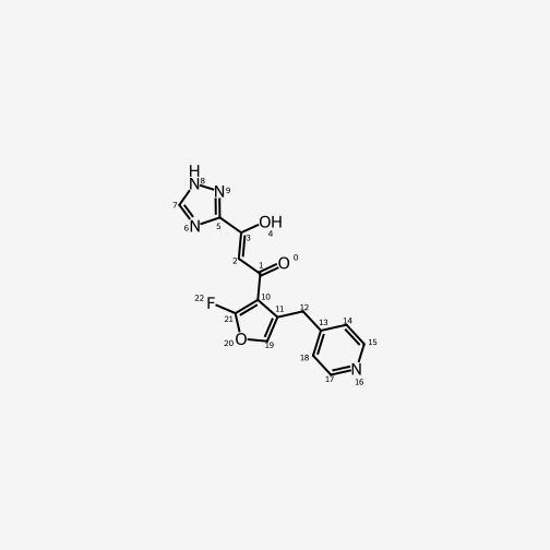 O=C(C=C(O)c1nc[nH]n1)c1c(Cc2ccncc2)coc1F